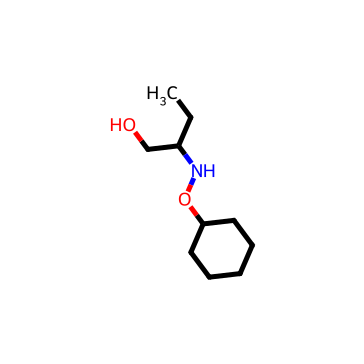 CCC(CO)NOC1CCCCC1